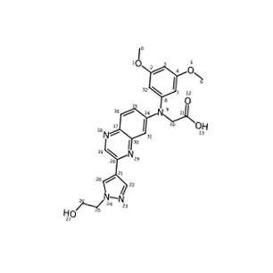 COc1cc(OC)cc(N(CC(=O)O)c2ccc3ncc(-c4cnn(CCO)c4)nc3c2)c1